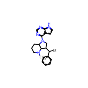 CCC(c1ccccc1)C1CN(c2ncnc3[nH]ccc23)C2CCCN(C(=O)O)C12